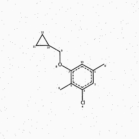 Cc1cc(Cl)c(C)c(OCC2CC2)c1